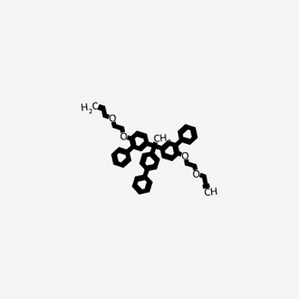 C#CCOCCOc1ccc(C(C)(c2ccc(-c3ccccc3)cc2)c2ccc(OCCOCC=C)c(-c3ccccc3)c2)cc1-c1ccccc1